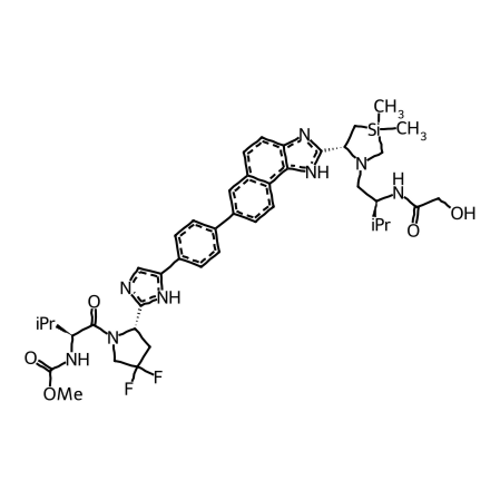 COC(=O)N[C@H](C(=O)N1CC(F)(F)C[C@H]1c1ncc(-c2ccc(-c3ccc4c(ccc5nc([C@@H]6C[Si](C)(C)CN6C[C@@H](NC(=O)CO)C(C)C)[nH]c54)c3)cc2)[nH]1)C(C)C